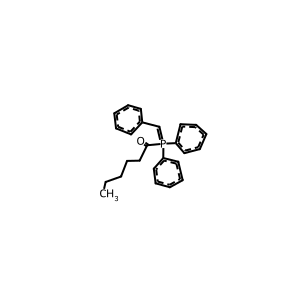 CCCCCC(=O)P(=Cc1ccccc1)(c1ccccc1)c1ccccc1